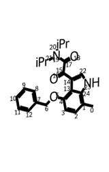 Cc1ccc(OCc2ccccc2)c2c(C(=O)C(=O)N(C(C)C)C(C)C)c[nH]c12